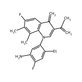 C=C(C)C1=CN(c2cc(N)c(F)cc2CC)c2c(cc(F)c(C)c2C)C1=C